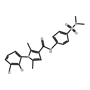 Cc1cc(C(=O)Nc2ccc(S(=O)(=O)N(C)C)cc2)c(C)n1-c1cccc(Cl)c1Cl